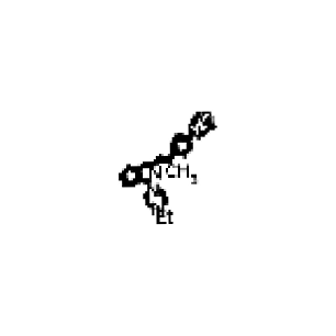 CCN1CCN(c2nc(/C=C(\C)c3ccc(N4CCOCC4)cc3)cc3ccccc23)CC1